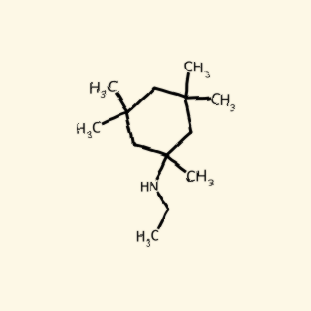 CCNC1(C)CC(C)(C)CC(C)(C)C1